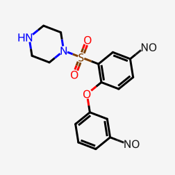 O=Nc1cccc(Oc2ccc(N=O)cc2S(=O)(=O)N2CCNCC2)c1